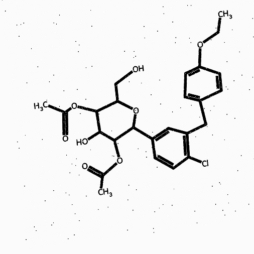 CCOc1ccc(Cc2cc(C3OC(CO)C(OC(C)=O)C(O)C3OC(C)=O)ccc2Cl)cc1